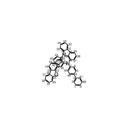 c1ccc(-c2ccc(N(c3ccc4ccc5c6ccccc6oc5c4c3)c3cccc4c5ccccc5n(-c5ccccc5)c34)cc2)cc1